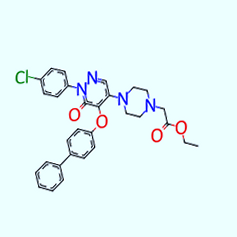 CCOC(=O)CN1CCN(c2cnn(-c3ccc(Cl)cc3)c(=O)c2Oc2ccc(-c3ccccc3)cc2)CC1